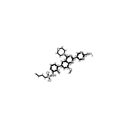 CCCCS(=O)(=O)Nc1cccc(-c2cc(OC)c3nc(-c4cnc(N)nc4)nc(N4CCOCC4)c3c2)c1F